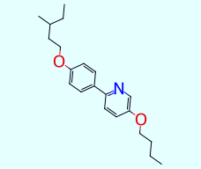 CCCCOc1ccc(-c2ccc(OCCC(C)CC)cc2)nc1